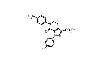 CCOC(=O)c1nn(-c2ccc(Cl)cc2)c2c1CCN(c1ccc([N+](=O)[O-])cc1)C2=O